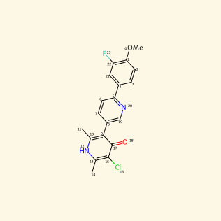 COc1ccc(-c2ccc(-c3c(C)[nH]c(C)c(Cl)c3=O)cn2)cc1F